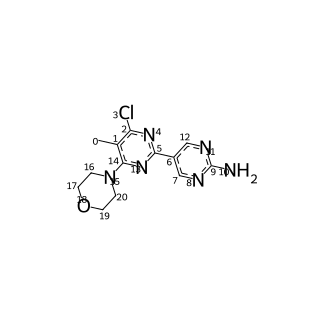 Cc1c(Cl)nc(-c2cnc(N)nc2)nc1N1CCOCC1